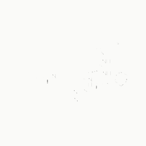 C[C@H](NC(=O)OC(C)(C)C)C(=O)N[C@@H](Cc1ccccc1)C(=O)N[C@@H](CCCCNC(=O)OC(C)(C)C1CCCC1)C(=O)NN